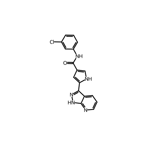 O=C(Nc1cccc(Cl)c1)c1c[nH]c(-c2n[nH]c3ncccc23)c1